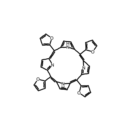 C1=Cc2nc1c(-c1ccco1)c1ccc([nH]1)c(-c1ccco1)c1nc(c(-c3ccco3)c3ccc([nH]3)c2-c2ccco2)C=C1